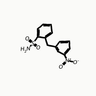 NS(=O)(=O)c1ccccc1Cc1cccc([N+](=O)[O-])c1